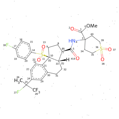 COC(=O)C1(NC(=O)[C@@H]2CC[C@@]3(S(=O)(=O)c4ccc(F)cc4)c4ccc(C(C)(F)C(F)(F)F)cc4CC[C@@H]23)CCS(=O)(=O)CC1